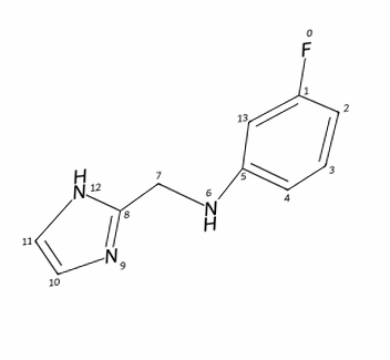 Fc1cccc(NCc2ncc[nH]2)c1